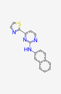 c1ccc2cc(Nc3nccc(-c4nccs4)n3)ccc2c1